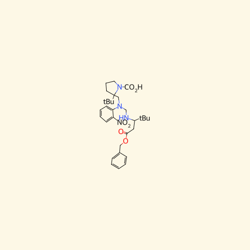 CC(C)(C)C(CC(=O)OCc1ccccc1)NCN(CC1(C(C)(C)C)CCCN1C(=O)O)c1ccccc1[N+](=O)[O-]